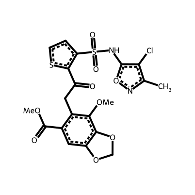 COC(=O)c1cc2c(c(OC)c1CC(=O)c1sccc1S(=O)(=O)Nc1onc(C)c1Cl)OCO2